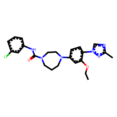 CCOc1cc(N2CCCN(C(=O)Nc3cccc(Cl)c3)CC2)ccc1-n1cnc(C)n1